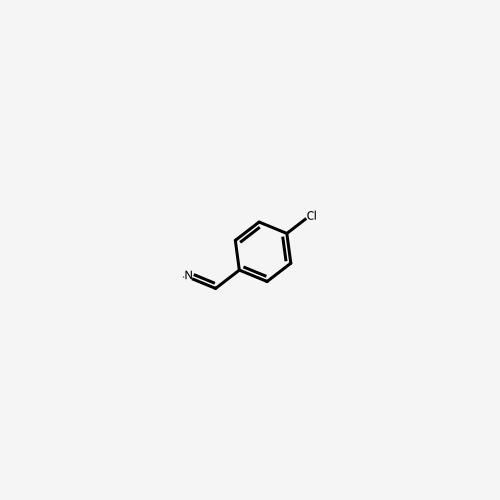 [N]=Cc1ccc(Cl)cc1